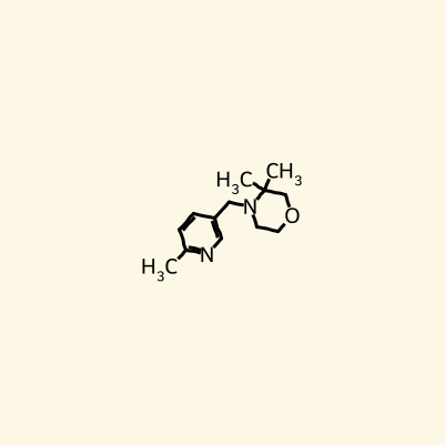 Cc1ccc(CN2CCOCC2(C)C)cn1